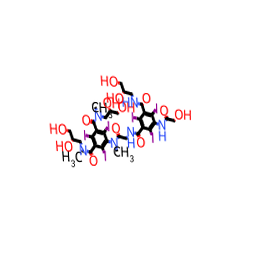 CN(CC(O)CO)C(=O)c1c(I)c(C(=O)N(C)CC(O)CO)c(I)c(N(C)C(=O)CNC(=O)c2c(I)c(NC(=O)CO)c(I)c(C(=O)NCC(O)CO)c2I)c1I